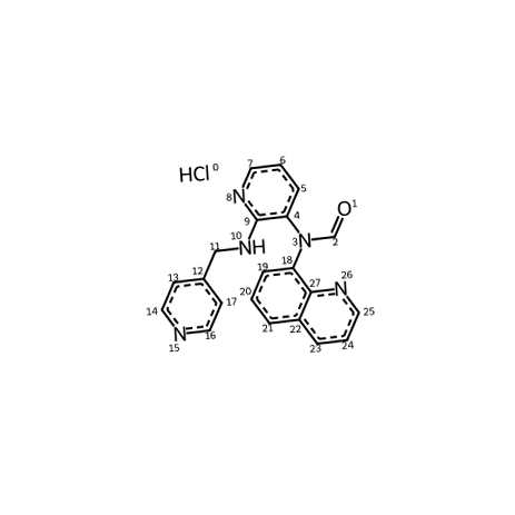 Cl.O=CN(c1cccnc1NCc1ccncc1)c1cccc2cccnc12